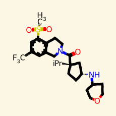 CC(C)[C@]1(C(=O)N2CCc3c(cc(C(F)(F)F)cc3S(C)(=O)=O)C2)CC[C@@H](NC2CCOCC2)C1